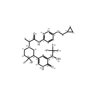 CC(C(=O)Nc1ccc(OCC2CC2)nn1)N1CCC(F)(F)C(c2c[nH]c(=O)c([C@H](O)C(F)(F)F)c2)C1